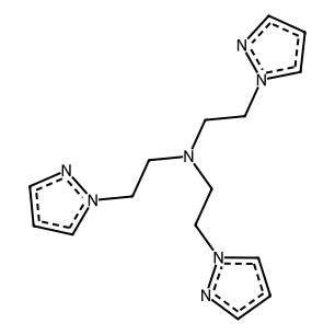 c1cnn(CCN(CCn2cccn2)CCn2cccn2)c1